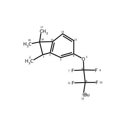 CC1c2cc(OC(F)(F)C(F)(F)C(C)(C)C)ccc2C1(C)C